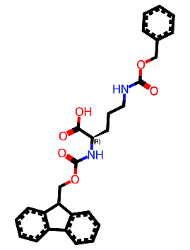 O=C(NCCC[C@@H](NC(=O)OCC1c2ccccc2-c2ccccc21)C(=O)O)OCc1ccccc1